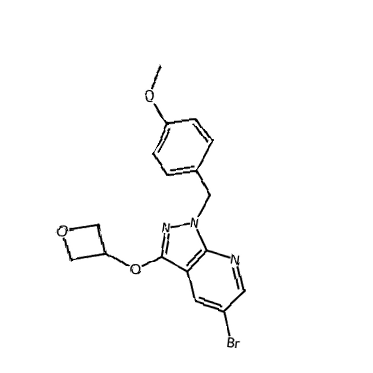 COc1ccc(Cn2nc(OC3COC3)c3cc(Br)cnc32)cc1